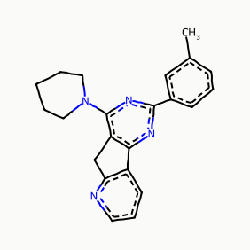 Cc1cccc(-c2nc3c(c(N4CCCCC4)n2)Cc2ncccc2-3)c1